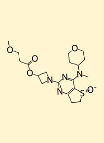 COCCC(=O)OC1CN(c2nc3c(c(N(C)C4CCOCC4)n2)[S+]([O-])CC3)C1